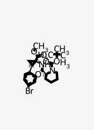 COC(=O)[C@@]1(NC(=O)[C@@H]2CCCCN2C(=O)OC(C)(C)C)C[C@@H]1c1ccc(Br)cc1